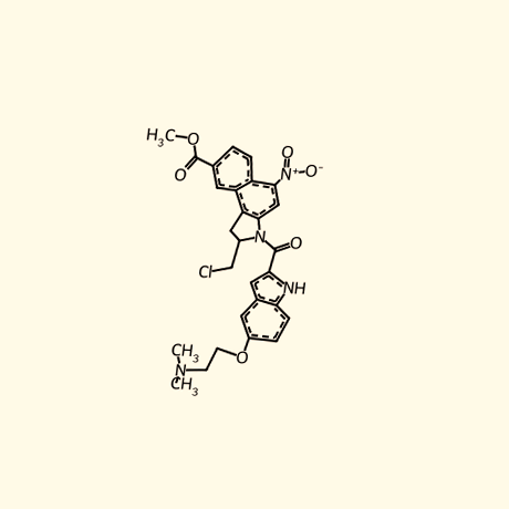 COC(=O)c1ccc2c([N+](=O)[O-])cc3c(c2c1)CC(CCl)N3C(=O)c1cc2cc(OCCN(C)C)ccc2[nH]1